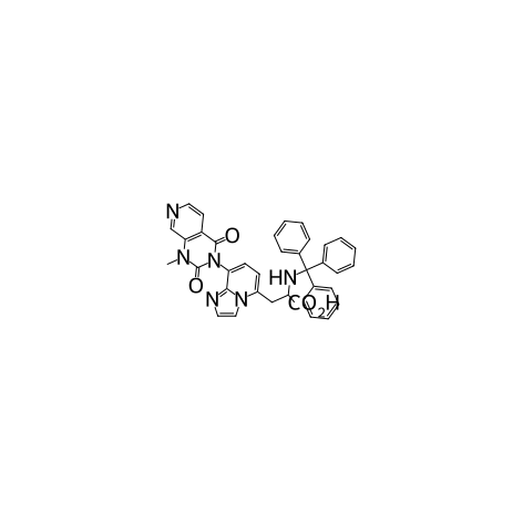 Cn1c(=O)n(-c2ccc(CC(NC(c3ccccc3)(c3ccccc3)c3ccccc3)C(=O)O)n3ccnc23)c(=O)c2ccncc21